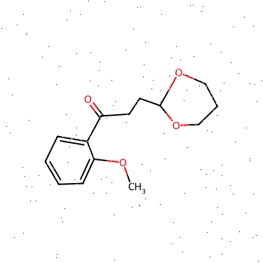 COc1ccccc1C(=O)CCC1OCCCO1